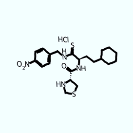 Cl.O=C(N[C@H](CCC1CCCCC1)C(=S)NCc1ccc([N+](=O)[O-])cc1)[C@@H]1CSCN1